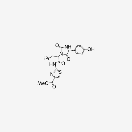 COC(=O)c1csc(NC(=O)C(CC(C)C)N2C(=O)NC(c3ccc(O)cc3)C2=O)n1